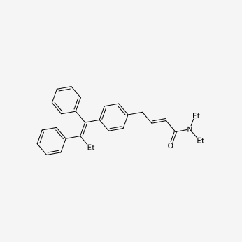 CCC(=C(c1ccccc1)c1ccc(CC=CC(=O)N(CC)CC)cc1)c1ccccc1